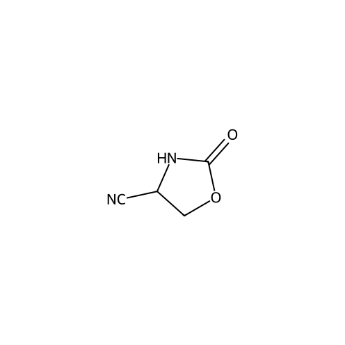 N#CC1COC(=O)N1